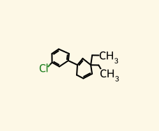 CCC1(CC)C=CCC(c2cccc(Cl)c2)=C1